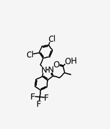 CC(Cc1nn(Cc2ccc(Cl)cc2Cl)c2ccc(C(F)(F)F)cc12)C(=O)O